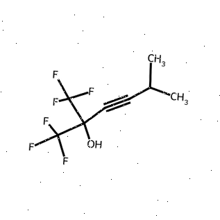 CC(C)C#CC(O)(C(F)(F)F)C(F)(F)F